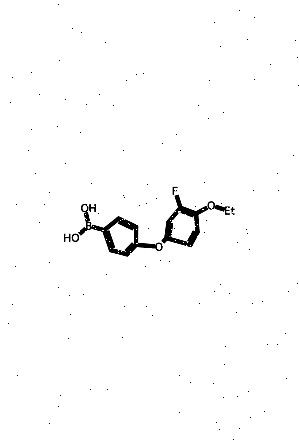 CCOc1ccc(Oc2ccc(B(O)O)cc2)cc1F